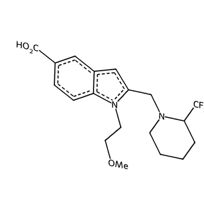 COCCn1c(CN2CCCCC2C(F)(F)F)cc2cc(C(=O)O)ccc21